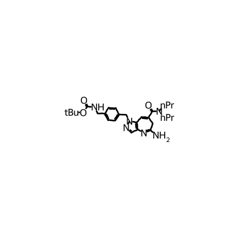 CCCN(CCC)C(=O)C1=Cc2c(cnn2Cc2ccc(CNC(=O)OC(C)(C)C)cc2)N=C(N)C1